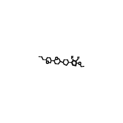 CCCC1CCC(C2CCC(C3CCC(c4ccc(OCC)c(F)c4F)CC3)CO2)CO1